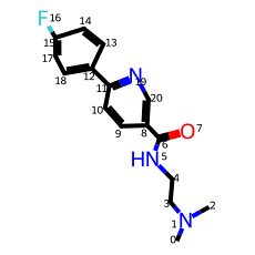 CN(C)CCNC(=O)c1ccc(-c2ccc(F)cc2)nc1